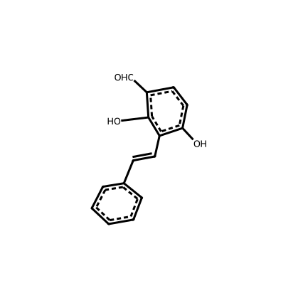 O=Cc1ccc(O)c(C=Cc2ccccc2)c1O